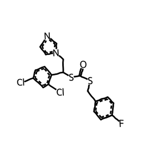 O=C(SCc1ccc(F)cc1)SC(Cn1ccnc1)c1ccc(Cl)cc1Cl